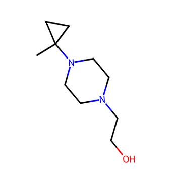 CC1(N2CCN(CCO)CC2)CC1